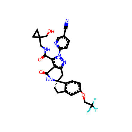 N#Cc1ccc(-n2nc3c(c2C(=O)NCC2(CO)CC2)C(=O)N[C@@]2(CCc4cc(OCC(F)(F)F)ccc42)C3)nc1